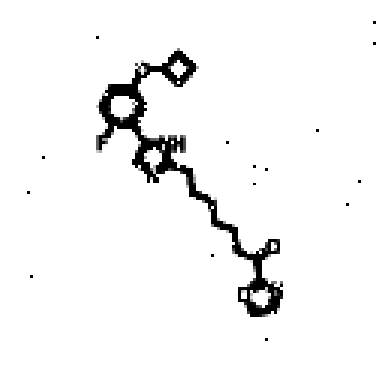 O=C(CCCCCCc1ncc(-c2cc(OC3CCC3)ccc2F)[nH]1)c1ncco1